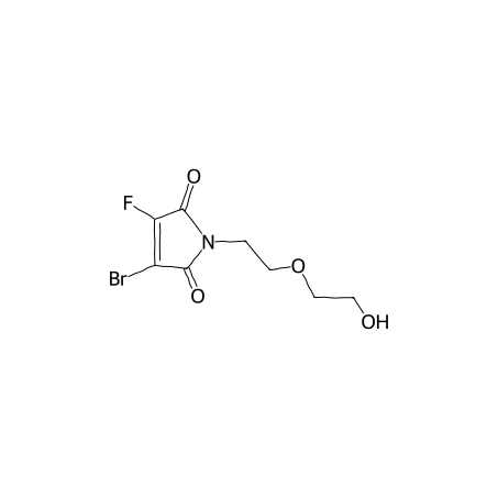 O=C1C(F)=C(Br)C(=O)N1CCOCCO